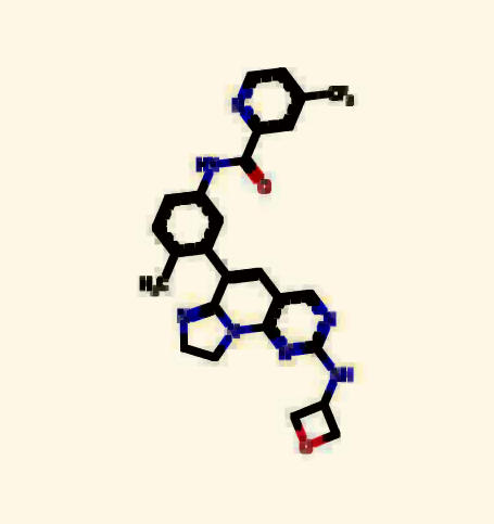 Cc1ccc(NC(=O)c2cc(C(F)(F)F)ccn2)cc1C1=Cc2cnc(NC3COC3)nc2N2CCN=C12